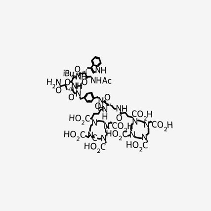 CCC(C)[C@H](NC(=O)[C@H](Cc1c[nH]c2ccccc12)C(=O)CNC(C)=O)C(=O)N[C@@H](CCC(N)=O)C(=O)NCc1ccc(CNC(=O)[C@H](CCNC(=O)CCC(C(=O)O)N2CCN(CC(=O)O)CCN(CC(=O)O)CCN(CC(=O)O)CC2)NC(=O)CCC(C(=O)O)N2CCN(CC(=O)O)CCN(CC(=O)O)CCN(CC(=O)O)CC2)cc1